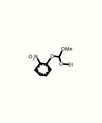 CCOC(OC)Oc1ccccc1[N+](=O)[O-]